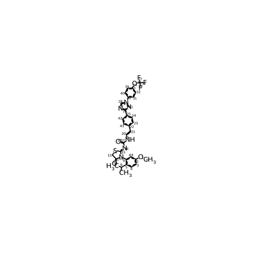 COc1ccc(C(C)C)c(N2C(=O)CS/C2=N\C(=O)N/C=C/c2ccc(-c3ncn(-c4ccc(OC(F)(F)F)cc4)n3)cc2)c1